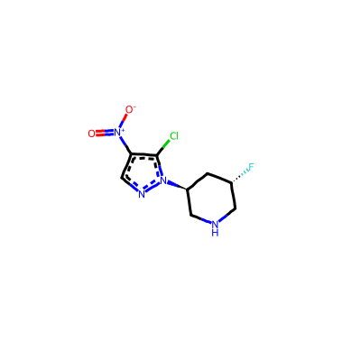 O=[N+]([O-])c1cnn([C@@H]2CNC[C@@H](F)C2)c1Cl